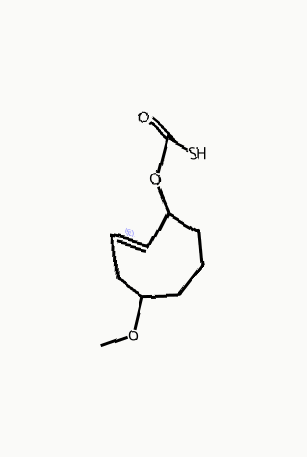 COC1C/C=C/C(OC(=O)S)CCC1